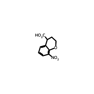 O=C(O)C1CCOc2c1cccc2[N+](=O)[O-]